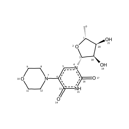 C[C@H]1O[C@@H](n2cc(N3CCOCC3)c(=O)[nH]c2=O)[C@H](O)[C@@H]1O